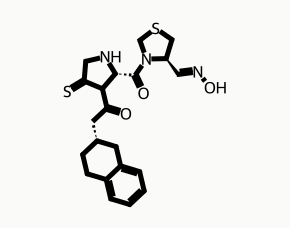 O=C(C[C@H]1CCc2ccccc2C1)C1C(=S)CN[C@@H]1C(=O)N1CSC[C@H]1C=NO